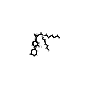 CCCCCCN(CCCCCC)CC1CC1c1ccc(C2CCCCC2)c(Cl)c1